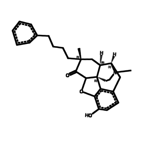 CN1CC[C@]23c4c5ccc(O)c4OC2C(=O)[C@](C)(CCCCc2ccccc2)C[C@H]3[C@H]1C5